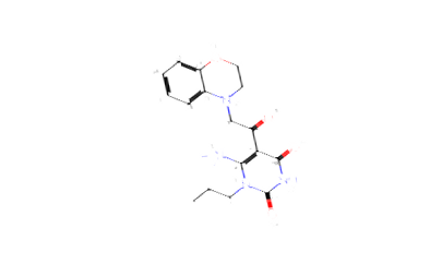 CCCn1c(N)c(C(=O)CN2CCOc3ccccc32)c(=O)[nH]c1=O